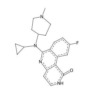 CN1CCC(N(c2nc3cc[nH]c(=O)c3c3cc(F)ccc23)C2CC2)CC1